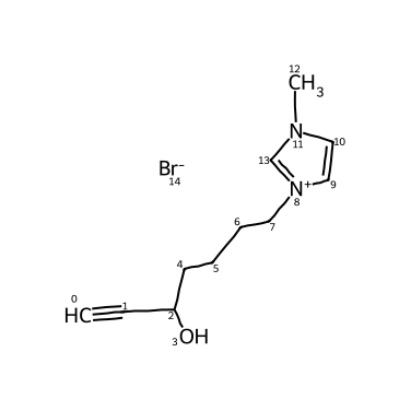 C#CC(O)CCCC[n+]1ccn(C)c1.[Br-]